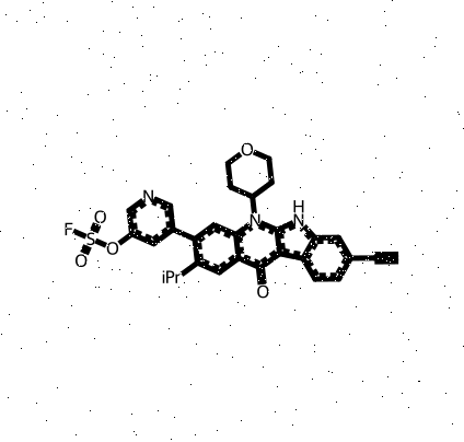 C#Cc1ccc2c(c1)[nH]c1c2c(=O)c2cc(C(C)C)c(-c3cncc(OS(=O)(=O)F)c3)cc2n1C1CCOCC1